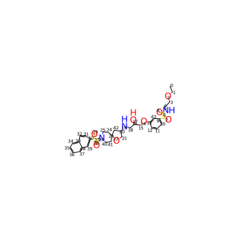 CCOCCNS(=O)(=O)c1cccc(OC[C@@H](O)CNC2COC3(CCN(S(=O)(=O)c4ccc5ccccc5c4)CC3)C2)c1